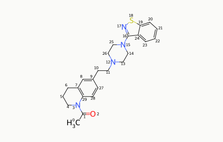 CC(=O)N1CCCc2cc(CCN3CCN(c4nsc5ccccc45)CC3)ccc21